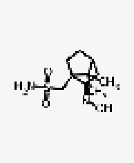 CC1(C)C2CC[C@@]1(CS(N)(=O)=O)/C(=N/O)C2